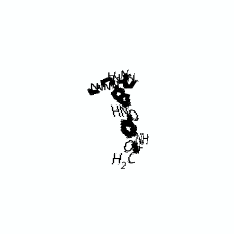 C=C(F)C(=O)Nc1cccc(C(=O)N[C@H]2CCc3cc(-n4c(-c5cccnc5N)nc5ccc(-n6cccn6)nc54)ccc32)c1